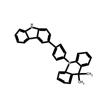 CC1(C)c2ccccc2N(c2ccc(-c3ccc4[nH]c5ccccc5c4c3)cc2)c2ccccc21